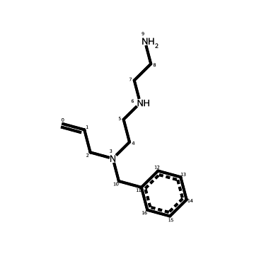 C=CCN(CCNCCN)Cc1ccccc1